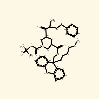 COCCCCC1(CNC(=O)C2CC(C(=O)N(C)CCc3ccccc3)CN(C(=O)OC(C)(C)C)C2)c2ccccc2Oc2ccccc21